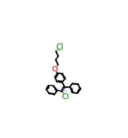 ClCCCCOc1ccc(/C(=C(/Cl)c2ccccc2)c2ccccc2)cc1